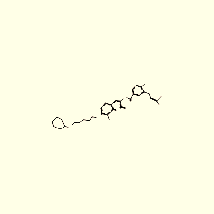 CC(C)=CCc1cc(C(=O)Nc2cc3ccc(OCCCCCNC4CCCCC4)c(C)c3oc2=O)ccc1O